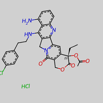 CC[C@@]1(OC(C)=O)C(=O)OCc2c1cc1n(c2=O)Cc2c-1nc1cccc(N)c1c2NCCc1ccc(Cl)cc1.Cl